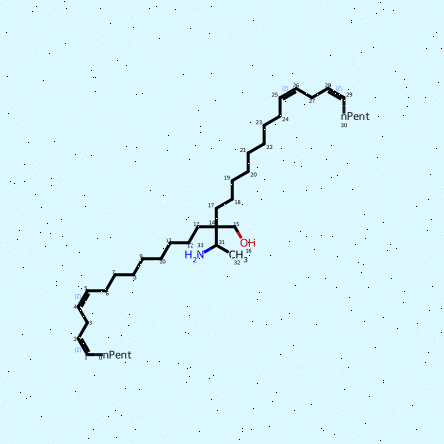 CCCCC/C=C\C/C=C\CCCCCCCCC(CO)(CCCCCCCC/C=C\C/C=C\CCCCC)C(C)N